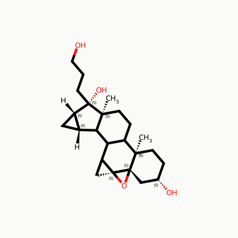 C[C@]12CCC3C(C1[C@@H]1C[C@@H]1[C@@]2(O)CCCO)C1C[C@]12O[C@]21C[C@@H](O)CC[C@]31C